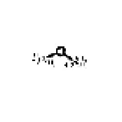 C[Si](C)(C)C#Cc1cccc(C#C[Si](C)(C)C)c1